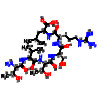 CC(C)C[C@H](NC(=O)[C@H](CCCNC(=N)N)NC(=O)[C@H](CO)NC(=O)[C@@H](NC(=O)[C@@H](NC(=O)[C@@H](N)[C@@H](C)O)C(C)C)[C@@H](C)O)C(=O)O